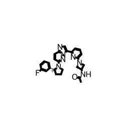 CC(=O)NC1CN(c2cccc(-c3cnc4ccc(N5CCC[C@@H]5c5cccc(F)c5)nn34)n2)C1